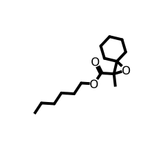 CCCCCCOC(=O)C1(C)OC12CCCCC2